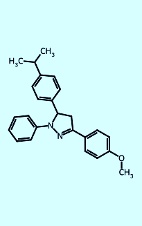 COc1ccc(C2=NN(c3ccccc3)C(c3ccc(C(C)C)cc3)C2)cc1